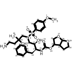 COc1ccc(S(=O)(=O)N(C[C@@H](O)[C@H](Cc2ccccc2)NC(=O)OC2COC3OCCC23)CC(C)(C)CCN)cc1